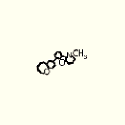 CC1=Nc2c(oc3c(-c4ccc5c(c4)C/C=C\C=C/CO5)cccc23)C=CC1